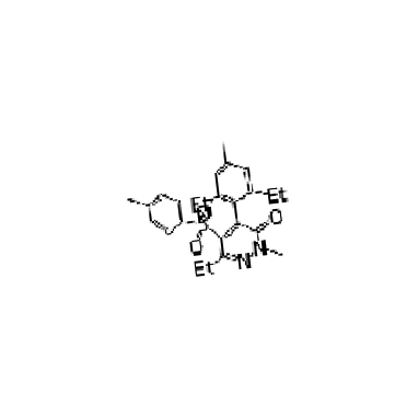 CCc1cc(C)cc(CC)c1-c1c(S(=O)(=O)c2ccc(C)cc2)c(CC)nn(C)c1=O